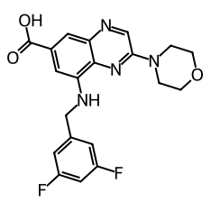 O=C(O)c1cc(NCc2cc(F)cc(F)c2)c2nc(N3CCOCC3)cnc2c1